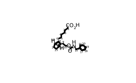 O=C(O)CCCCCC[C@@H]1[C@@H](CCOC(=O)NCc2ccccc2)[C@H]2CC[C@@H]1O2